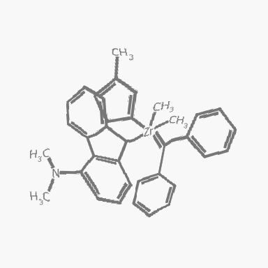 CC1=CC[C]([Zr]([CH3])([CH3])(=[C](c2ccccc2)c2ccccc2)[CH]2c3ccccc3-c3c2cccc3N(C)C)=C1